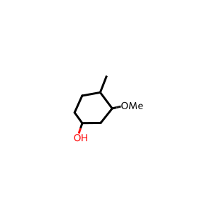 COC1CC(O)CCC1C